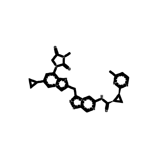 Cc1ccnc([C@H]2C[C@@H]2C(=O)Nc2cn3c(Cc4cn5cc(C6CC6)cc(N6CC(=O)N(C)C6=O)c5n4)nnc3cn2)n1